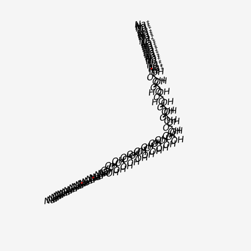 O=C(O)CO.O=C(O)CO.O=C(O)CO.O=C(O)CO.O=C(O)CO.O=C(O)CO.O=C(O)CO.O=C(O)CO.O=C(O)CO.O=C(O)CO.O=C(O)CO.O=C(O)CO.O=C(O)CO.O=C(O)CO.O=C(O)CO.O=C(O)CO.[Na+].[Na+].[Na+].[Na+].[Na+].[Na+].[Na+].[Na+].[Na+].[Na+].[Na+].[Na+].[Na+].[Na+].[Na+].[Na+].[Na+].[Na+].[Na+].[Na+].[Na+].[Na+].[Na+].[Na+].[Na+].[Na+].[Na+].[Na+].[Na+].[Na+].[Na+].[Na+].[Na+].[Na+].[Na+].[Na+].[Na+].[Na+].[Na+].[Na+].[Na+].[Na+].[Na+].[Na+].[Na+].[Na+].[Na+].[Na+].[Na+].[Na+]